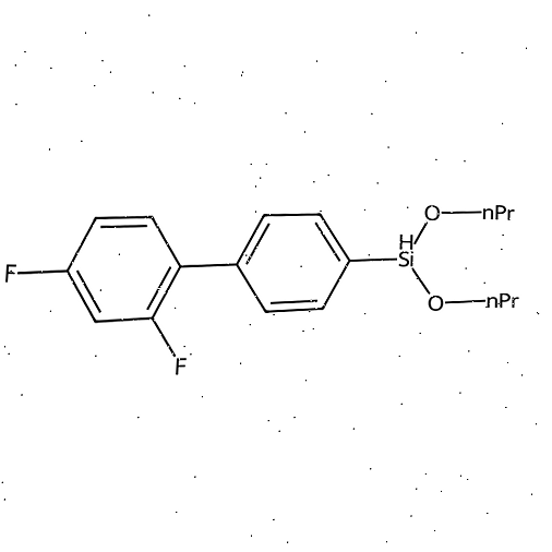 CCCO[SiH](OCCC)c1ccc(-c2ccc(F)cc2F)cc1